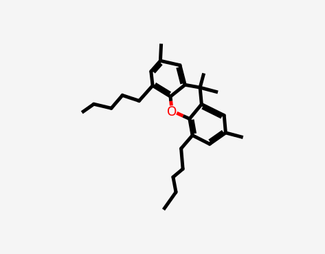 CCCCCc1cc(C)cc2c1Oc1c(CCCCC)cc(C)cc1C2(C)C